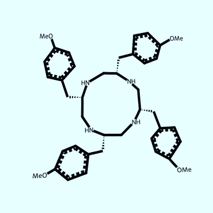 COc1ccc(C[C@H]2CN[C@@H](Cc3ccc(OC)cc3)CN[C@@H](Cc3ccc(OC)cc3)CN[C@@H](Cc3ccc(OC)cc3)CN2)cc1